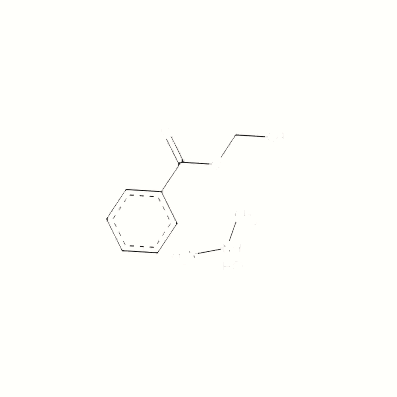 CCOC(=O)c1ccccc1.CNN.Cl